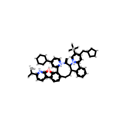 C=C1C2C(CCc3ccc4c(oc5nc(C(C)C(C)(C)C)ccc54)c3-c3cc(C4CCCCC4)cc[n+]31)c1ccccc1-c1cc(CC3CCCC3)c([Si](C)(C)C)c[n+]12